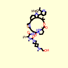 CCn1c(-c2cccnc2[C@H](C)OC)c2c3cc(ccc31)-c1csc(n1)C[C@H](NC(=O)C(C(C)C)N(C)C(=O)N1CC3(CC(N(C)CCO)C3)C1)C(=O)N1CCC[C@H](N1)C(=O)OCC(C)(C)C2